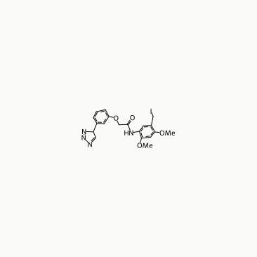 COc1cc(OC)c(NC(=O)COc2cccc(C3C=NN=N3)c2)cc1CI